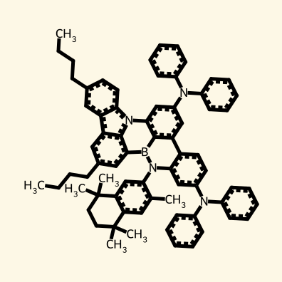 CCCCc1ccc2c(c1)c1cc(CCCC)cc3c1n2-c1cc(N(c2ccccc2)c2ccccc2)cc2c1B3N(c1cc3c(cc1C)C(C)(C)CCC3(C)C)c1cc(N(c3ccccc3)c3ccccc3)ccc1-2